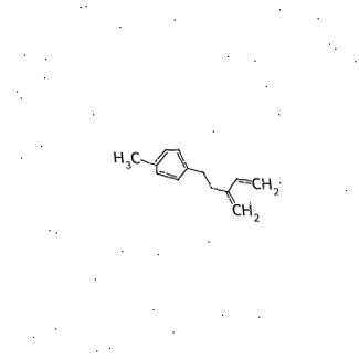 C=CC(=C)CCc1ccc(C)cc1